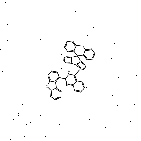 c1ccc2c(c1)Oc1ccccc1C21c2ccccc2-c2c(C3=c4ccccc4=NC(c4cccc5oc6ccccc6c45)N3)cccc21